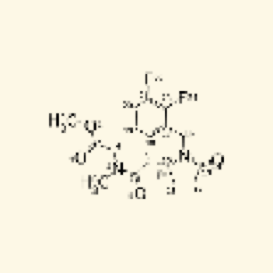 COC(=O)CN(C)C(=O)C[C@H]1CCC(=O)N1Cc1cccc(F)c1F